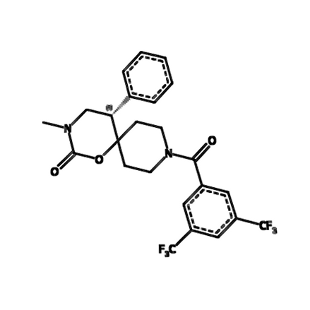 CN1C[C@H](c2ccccc2)C2(CCN(C(=O)c3cc(C(F)(F)F)cc(C(F)(F)F)c3)CC2)OC1=O